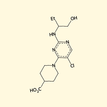 CCC(CO)Nc1ncc(Cl)c(N2CCC(C(=O)O)CC2)n1